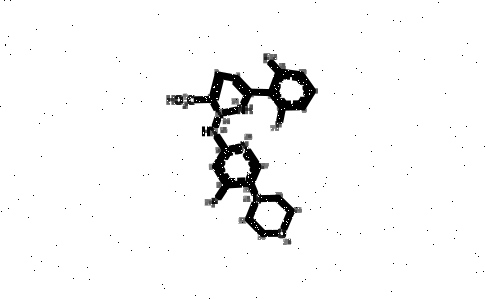 O=C(O)C1=CC=C(c2c(F)cccc2F)NN1Nc1cc(F)c(N2CCOCC2)cn1